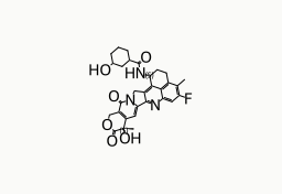 Cc1c(F)cc2nc3c(c4c2c1CC[C@@H]4NC(=O)C1CCCC(O)C1)Cn1c-3cc2c(c1=O)COC(=O)[C@@]2(C)O